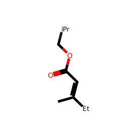 CC/C(C)=C/C(=O)OCC(C)C